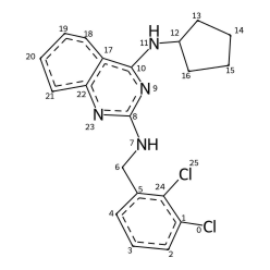 Clc1cccc(CNc2nc(NC3CCCC3)c3ccccc3n2)c1Cl